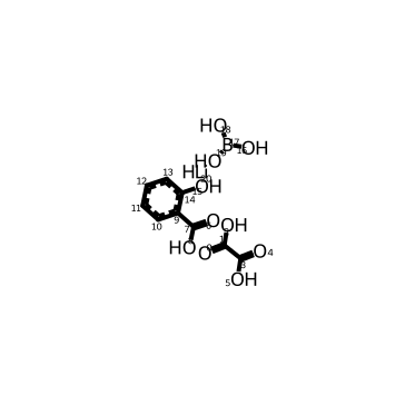 O=C(O)C(=O)O.O=C(O)c1ccccc1O.OB(O)O.[LiH]